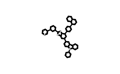 c1ccc(-n2c3ccccc3c3cc(-c4cc(-c5ccc(-c6cccc7ccccc67)cc5)c5nc(-c6cccc(-c7cccnc7)c6)oc5c4)ccc32)cc1